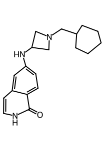 O=c1[nH]ccc2cc(NC3CN(CC4CCCCC4)C3)ccc12